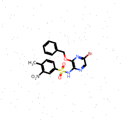 Cc1ccc(S(=O)(=O)Nc2ncc(Br)nc2OCc2ccccc2)cc1[N+](=O)[O-]